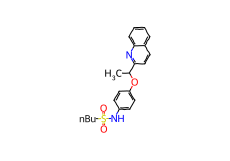 CCCCS(=O)(=O)Nc1ccc(OC(C)c2ccc3ccccc3n2)cc1